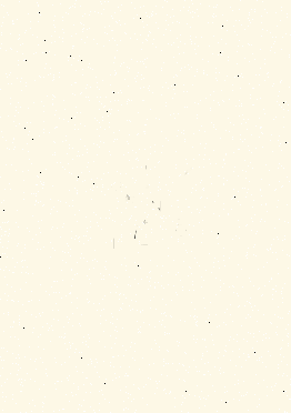 CC[Si](CC)(CC)O[C@@]1(C)C(=O)N(C(=O)c2ccccc2)[C@H]1C(F)F